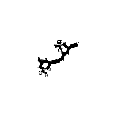 C#CC1CC(CC#CC2CC(C)CP(C)(=O)C2)OP(C)(=O)C1